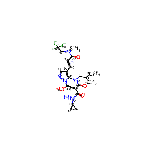 CC(C)Cn1c(=O)c(C(=O)NC2CC2)c(O)n2ncc(/C=C/C(=O)N(C)CC(F)(F)F)c12